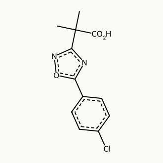 CC(C)(C(=O)O)c1noc(-c2ccc(Cl)cc2)n1